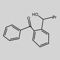 CC(C)C(O)c1ccccc1C(=O)c1ccccc1